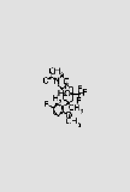 COc1ccc(F)cc1C(C)(C)CC(O)(CN1CCN(C(C)=O)CC1)C(F)(F)F